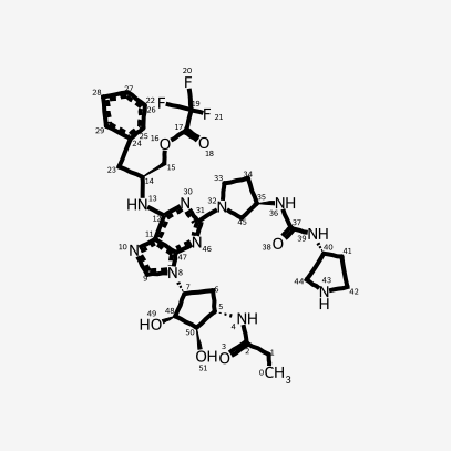 CCC(=O)N[C@H]1C[C@@H](n2cnc3c(N[C@H](COC(=O)C(F)(F)F)Cc4ccccc4)nc(N4CC[C@@H](NC(=O)N[C@@H]5CCNC5)C4)nc32)[C@H](O)[C@@H]1O